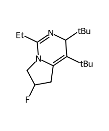 CCC1=NC(C(C)(C)C)C(C(C)(C)C)=C2CC(F)CN12